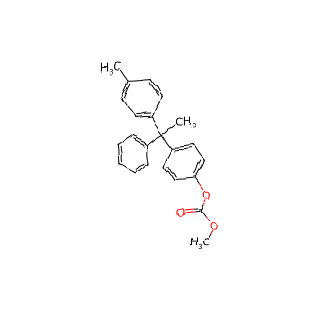 COC(=O)Oc1ccc(C(C)(c2ccccc2)c2ccc(C)cc2)cc1